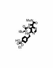 CCOP(=O)(O)c1ccc(CNc2ncnc3c(C(=O)NC)nn(C(=O)OC(C)(C)C)c23)cc1